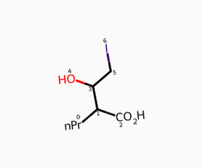 CCCC(C(=O)O)C(O)CI